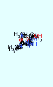 CN(C)CCOc1cc(-c2cnc3[nH]cc(C(=O)NCC(C)(C)CO)c3n2)cc(N2CCC(C)(C)C2)c1